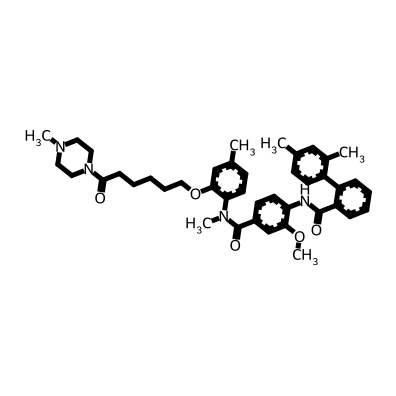 COc1cc(C(=O)N(C)c2ccc(C)cc2OCCCCCC(=O)N2CCN(C)CC2)ccc1NC(=O)c1ccccc1-c1ccc(C)cc1C